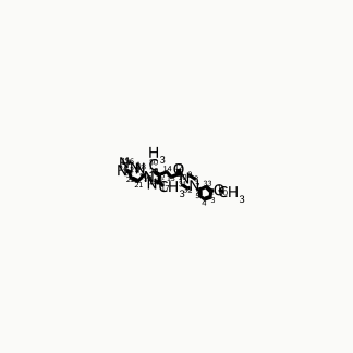 COc1cccc(N2CCN(C(=O)CCc3c(C)nn(-c4ccc5nncn5n4)c3C)CC2)c1